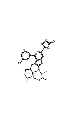 CC1CCC(Cn2c(N3CCO[C@H](C)[C@H]3C)nc3nc(-c4noc(=O)[nH]4)nc(-c4cncc(Cl)c4)c32)CC1